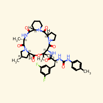 Cc1ccc(NC(=O)N[C@@H](Cc2cc(F)cc(F)c2)C(=O)N[C@@H]2C(=O)N3CCC[C@H]3C(=O)N3CCCC[C@H]3C(=O)N[C@@H](C)C(=O)N3C[C@H](C)C[C@H]3C(=O)OC2(C)C)cc1